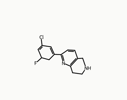 FC1C=C(Cl)C=C(c2ccc3c(n2)CCNC3)C1